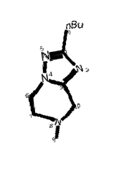 CCCCc1nc2n(n1)CCN(C)C2